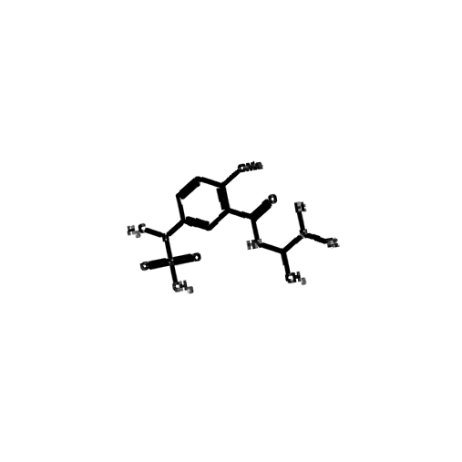 CCN(CC)C(C)NC(=O)c1cc(N(C)S(C)(=O)=O)ccc1OC